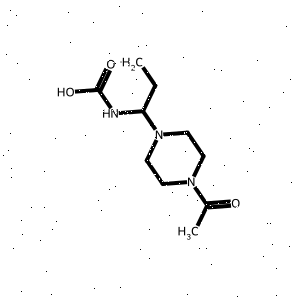 [CH2]CC(NC(=O)O)N1CCN(C(C)=O)CC1